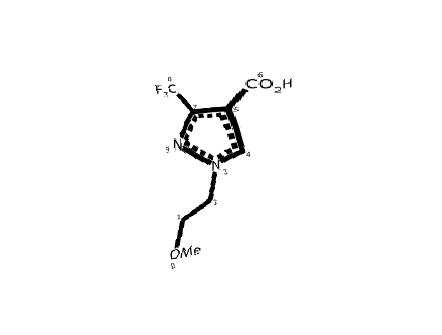 COCCn1cc(C(=O)O)c(C(F)(F)F)n1